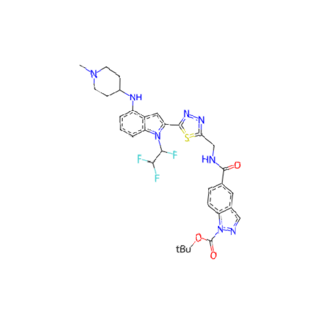 CN1CCC(Nc2cccc3c2cc(-c2nnc(CNC(=O)c4ccc5c(cnn5C(=O)OC(C)(C)C)c4)s2)n3C(F)C(F)F)CC1